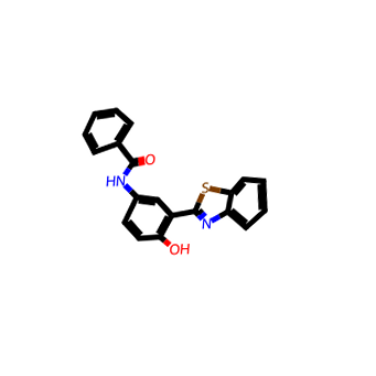 O=C(Nc1ccc(O)c(-c2nc3ccccc3s2)c1)c1ccccc1